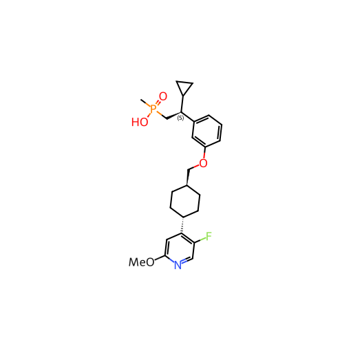 COc1cc([C@H]2CC[C@H](COc3cccc([C@@H](CP(C)(=O)O)C4CC4)c3)CC2)c(F)cn1